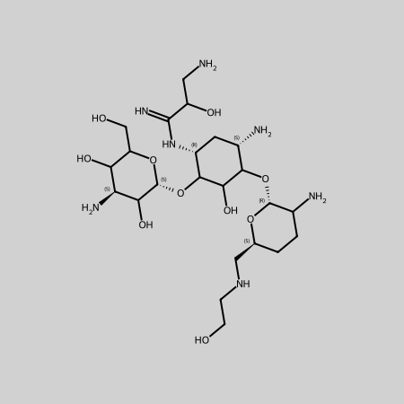 N=C(N[C@@H]1C[C@H](N)C(O[C@H]2O[C@H](CNCCO)CCC2N)C(O)C1O[C@H]1OC(CO)C(O)[C@H](N)C1O)C(O)CN